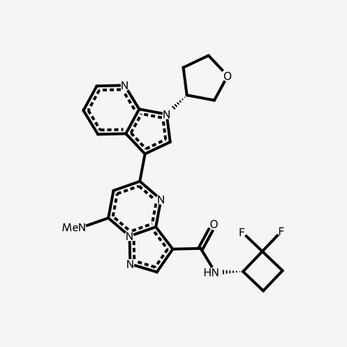 CNc1cc(-c2cn([C@@H]3CCOC3)c3ncccc23)nc2c(C(=O)N[C@H]3CCC3(F)F)cnn12